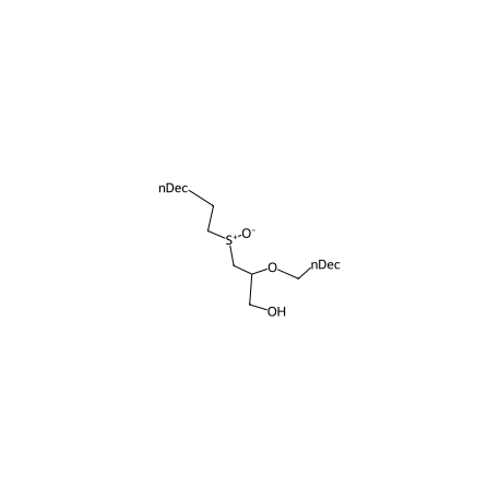 CCCCCCCCCCCC[S+]([O-])CC(CO)OCCCCCCCCCCC